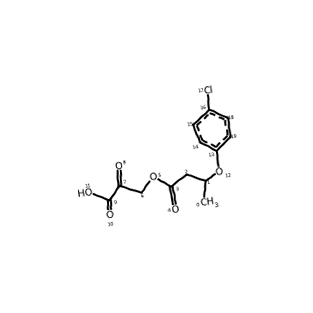 CC(CC(=O)OCC(=O)C(=O)O)Oc1ccc(Cl)cc1